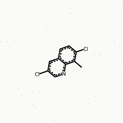 Cc1c(Cl)ccc2cc(Cl)cnc12